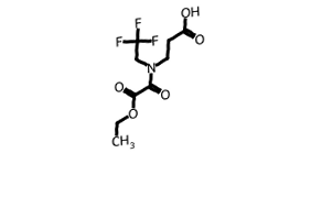 CCOC(=O)C(=O)N(CCC(=O)O)CC(F)(F)F